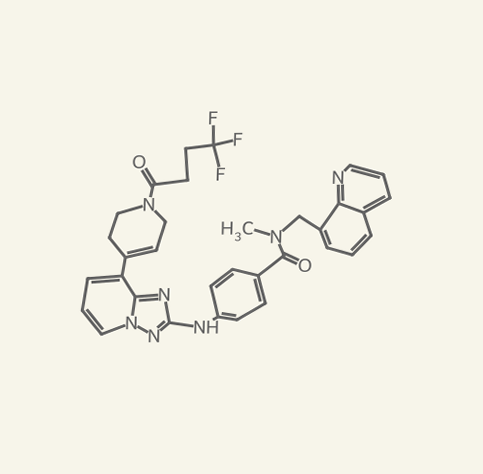 CN(Cc1cccc2cccnc12)C(=O)c1ccc(Nc2nc3c(C4=CCN(C(=O)CCC(F)(F)F)CC4)cccn3n2)cc1